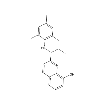 CCC(Nc1c(C)cc(C)cc1C)c1ccc2cccc(O)c2n1